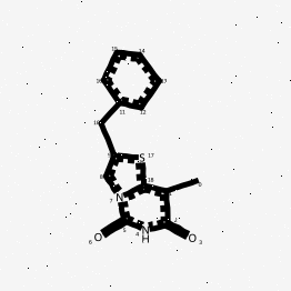 Cc1c(=O)[nH]c(=O)n2cc(Cc3ccccc3)sc12